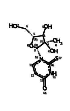 C[C@@]1(O)C(O)[C@@H](CO)O[C@H]1n1ccc(=O)[nH]c1=S